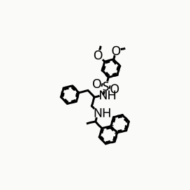 COc1ccc(S(=O)(=O)NC(CNC(C)c2cccc3ccccc23)Cc2ccccc2)cc1OC